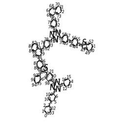 c1ccc(-c2ccc(-c3nc(-c4ccccc4)nc(-c4ccc(-c5sc6cc(-c7cc(-c8ccc(-c9nc(-c%10ccc(-c%11ccc(-c%12cc%13ccccc%13s%12)cc%11)cc%10)nc(-c%10ccc(-c%11cccc%12ccccc%11%12)cc%10)n9)cc8)c8ccccc8c7)ccc6c5-c5ccccc5)cc4)n3)cc2)cc1